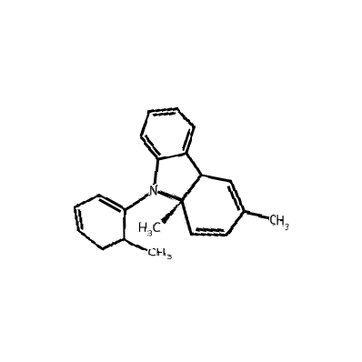 CC1=CC2c3ccccc3N(C3=CC=CCC3C)[C@@]2(C)C=C1